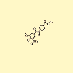 CCOC(=O)c1ccc(NC(=O)c2cc(OC)c(OC)c([N+](=O)[O-])c2)cc1